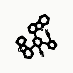 N#Cc1ccccc1-c1cc(-c2cccc3c2sc2ccccc23)cc(-c2cccc3oc4ccccc4c23)c1C#N